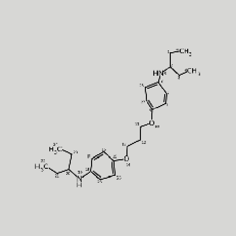 CCC(CC)Nc1ccc(OCCCOc2ccc(NC(CC)CC)cc2)cc1